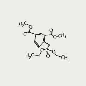 CCOP(=O)(Cc1ccc(C(=O)OC)cc1C(=O)OC)OCC